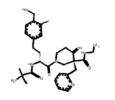 CC(C)(N)C(=O)N[C@H](CCc1ccc(CO)c(F)c1)C(=O)N1CCC(=N)[C@](Cc2ccccn2)(C(=O)NCC(F)(F)F)C1